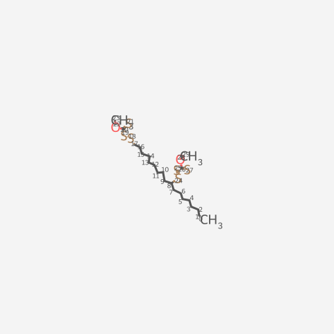 CCCCCCCCC(CCCCCCCCCSSC(=S)OC)SSC(=S)OC